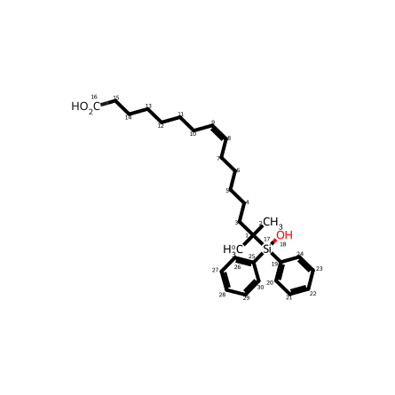 CC(C)(CCCCC/C=C\CCCCCCC(=O)O)[Si](O)(c1ccccc1)c1ccccc1